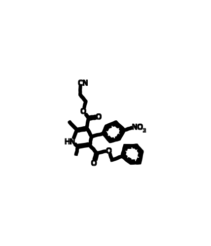 CC1=C(C(=O)OCCC#N)C(c2ccc([N+](=O)[O-])cc2)C(C(=O)OCc2ccccc2)=C(C)N1